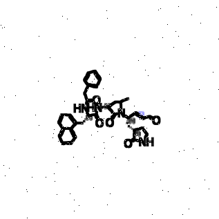 CC1C[C@H](NC(=O)[C@H](Cc2cccc3ccccc23)NC(=O)Cc2ccccc2)C(=O)N1[C@H](/C=C/C=O)C[C@@H]1CCNC1=O